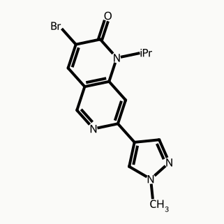 CC(C)n1c(=O)c(Br)cc2cnc(-c3cnn(C)c3)cc21